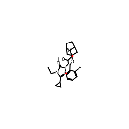 CCn1c(C2CC2)nn(CC(O)CN2C3CCC2CC(OCc2ccccc2F)C3)c1=O